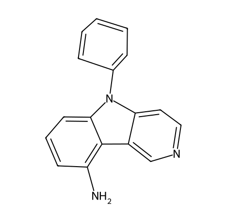 Nc1cccc2c1c1cnccc1n2-c1ccccc1